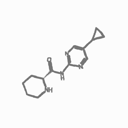 O=C(Nc1ncc(C2CC2)cn1)[C@H]1CCCCN1